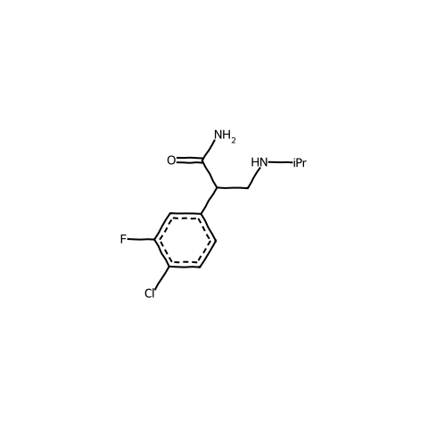 CC(C)NCC(C(N)=O)c1ccc(Cl)c(F)c1